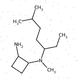 CCC(CCC(C)C)N(C)C1CCC1N